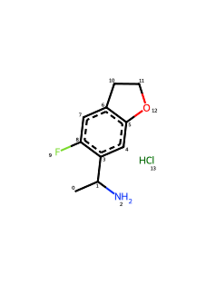 CC(N)c1cc2c(cc1F)CCO2.Cl